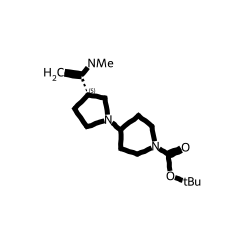 C=C(NC)[C@H]1CCN(C2CCN(C(=O)OC(C)(C)C)CC2)C1